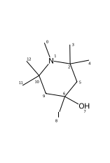 CN1C(C)(C)CC(O)(I)CC1(C)C